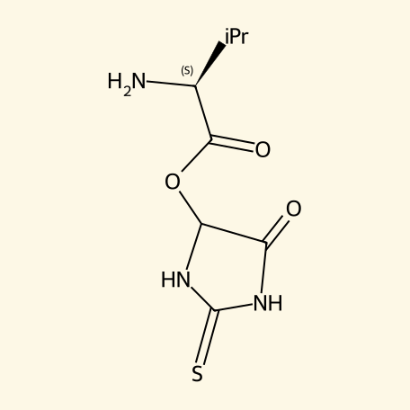 CC(C)[C@H](N)C(=O)OC1NC(=S)NC1=O